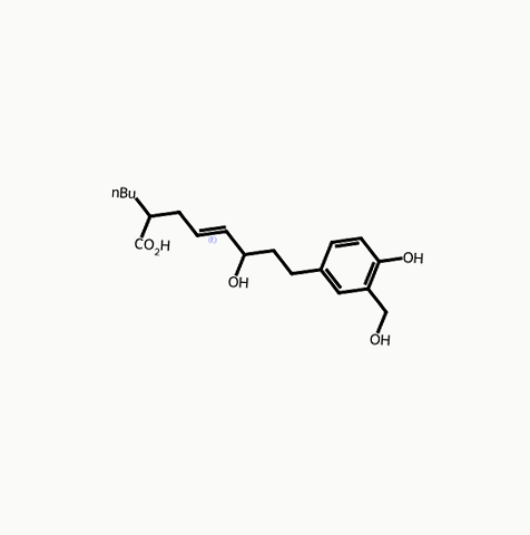 CCCCC(C/C=C/C(O)CCc1ccc(O)c(CO)c1)C(=O)O